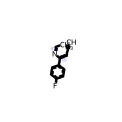 C#C/C=C(\N=C/C)c1ccc(F)cc1